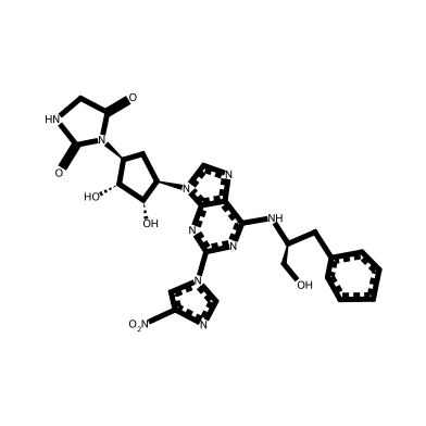 O=C1CNC(=O)N1[C@H]1C[C@@H](n2cnc3c(N[C@H](CO)Cc4ccccc4)nc(-n4cnc([N+](=O)[O-])c4)nc32)[C@H](O)[C@@H]1O